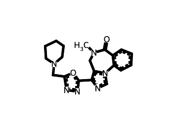 CN1Cc2c(-c3nnc(CN4CCCCC4)o3)ncn2-c2ccccc2C1=O